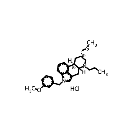 CCCN1C[C@@H](CSC)C[C@@H]2c3cccc4c3c(cn4Cc3cccc(OC)c3)C[C@H]21.Cl